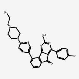 CC(C)CCN1CCN(c2ccc(-c3cccc4c3-c3nc(N)nc(-c5ccc(F)cc5)c3C4=O)cn2)CC1